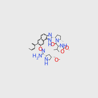 C=C(/C=C\C)c1cc2ccc3nc([C@@H]4CC[C@H](C)N4C(=O)[C@@H](NC(=O)OC)C(C)C)[nH]c3c2cc1O/N=C(\N)[C@@H]1C[C@H](COC)CN1